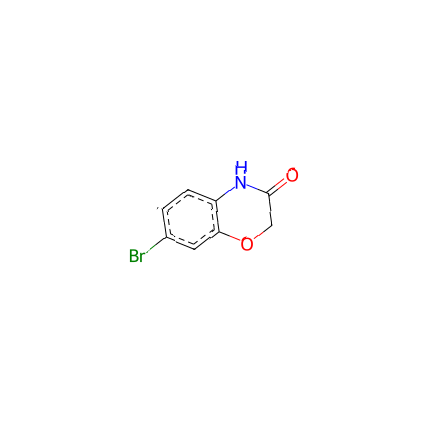 O=C1COc2cc(Br)[c]cc2N1